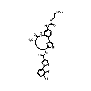 CNCCOC(=O)Nc1ccc2c(c1)NC(=O)[C@H](C)CCC[C@H](NC(=O)c1cnn(-c3cccc(Cl)c3F)c1)c1nc-2c[nH]1